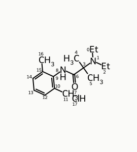 CCN(CC)C(C)(C)C(=O)Nc1c(C)cccc1C.Cl